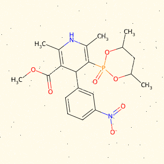 COC(=O)C1=C(C)NC(C)=C(P2(=O)OC(C)CC(C)O2)C1c1cccc([N+](=O)[O-])c1